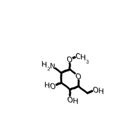 COC1OC(CO)C(O)C(O)C1N